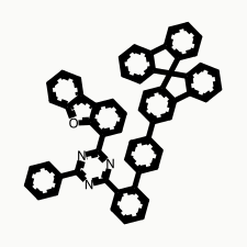 c1ccc(-c2nc(-c3ccccc3-c3ccc(-c4ccc5c(c4)-c4ccccc4C54c5ccccc5-c5ccccc54)cc3)nc(-c3cccc4c3oc3ccccc34)n2)cc1